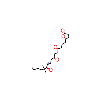 CCCCC(C)(C)C(=O)/C=C/CC(=O)CCC(=O)CCCC1CCC(=O)O1